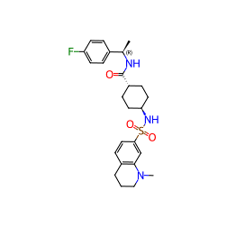 C[C@@H](NC(=O)[C@H]1CC[C@H](NS(=O)(=O)c2ccc3c(c2)N(C)CCC3)CC1)c1ccc(F)cc1